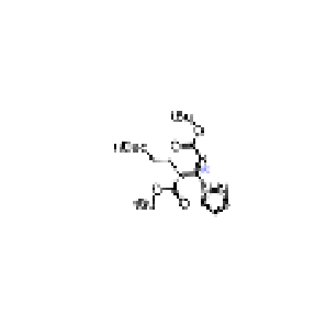 CCCCCCCCCCCCN(C(=O)OC(C)(C)C)/C(=N\C(=O)OC(C)(C)C)n1cccn1